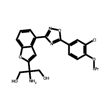 CCCOc1ccc(-c2nc(-c3cccc4oc(C(N)(CO)CO)cc34)no2)cc1Cl